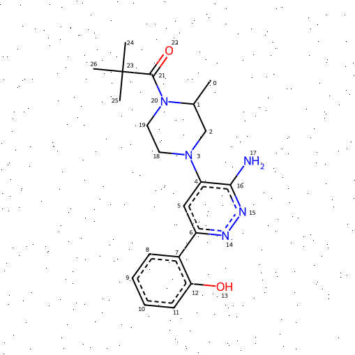 CC1CN(c2cc(-c3ccccc3O)nnc2N)CCN1C(=O)C(C)(C)C